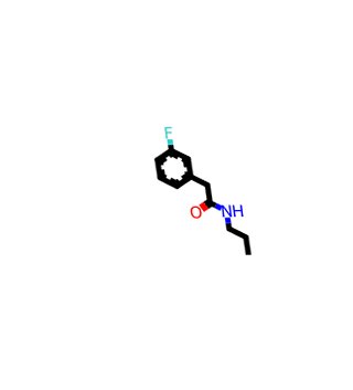 CCCNC(=O)Cc1cccc(F)c1